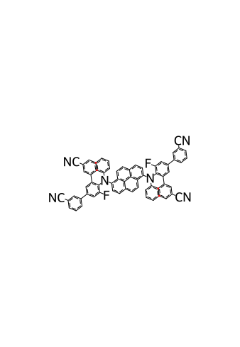 N#Cc1cccc(-c2cc(F)c(N(c3ccccc3)c3ccc4ccc5c(N(c6ccccc6)c6c(F)cc(-c7cccc(C#N)c7)cc6-c6cccc(C#N)c6)ccc6ccc3c4c65)c(-c3cccc(C#N)c3)c2)c1